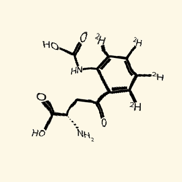 [2H]c1c([2H])c([2H])c(C(=O)C[C@H](N)C(=O)O)c(NC(=O)O)c1[2H]